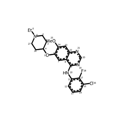 CCN1CCC(Oc2cc3c(Nc4cccc(Cl)c4F)ncnc3cc2OC)CC1